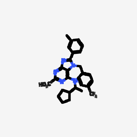 Cc1cccc(-c2nc3nc(C(=O)O)nc(NC(C)C4CCCC4)c3n2Cc2ccc(C(F)(F)F)cc2)c1